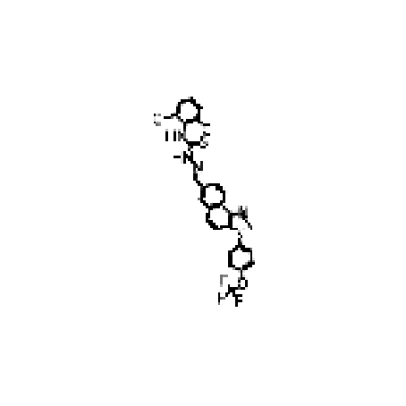 FC(F)(F)Oc1ccc(-n2nnc3c4ccc(C=NNC(=S)Nc5c(Cl)cccc5Cl)cc4ccc32)cc1